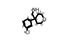 NCC1(c2cccc(Cl)c2)CCOCC1